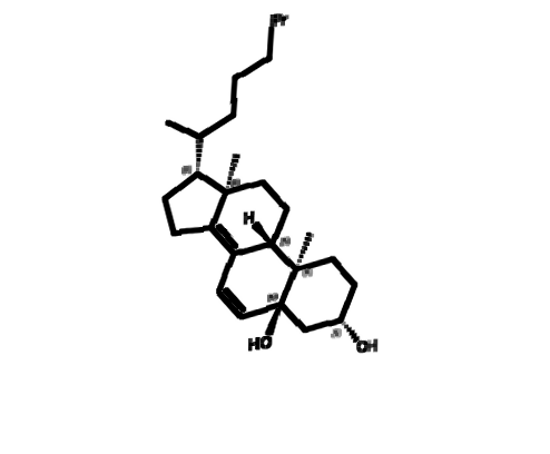 CC(C)CCCC(C)[C@H]1CCC2=C3C=C[C@@]4(O)C[C@@H](O)CC[C@]4(C)[C@H]3CC[C@@]21C